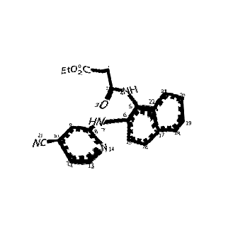 CCOC(=O)CC(=O)Nc1c(Nc2cc(C#N)ccn2)ccc2ccccc12